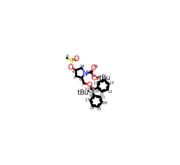 CS(=O)OC1CC(CO[Si](c2ccccc2)(c2ccccc2)C(C)(C)C)N(C(=O)OC(C)(C)C)C1